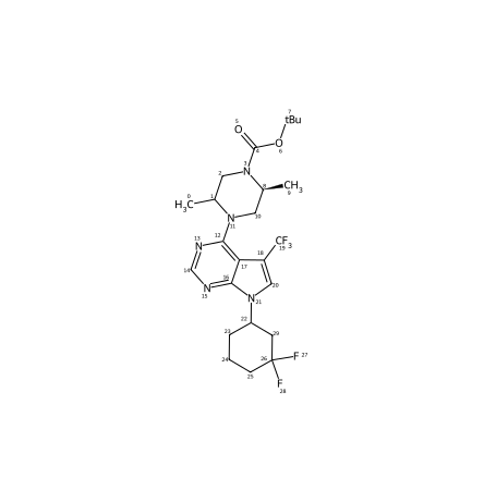 CC1CN(C(=O)OC(C)(C)C)[C@@H](C)CN1c1ncnc2c1c(C(F)(F)F)cn2C1CCCC(F)(F)C1